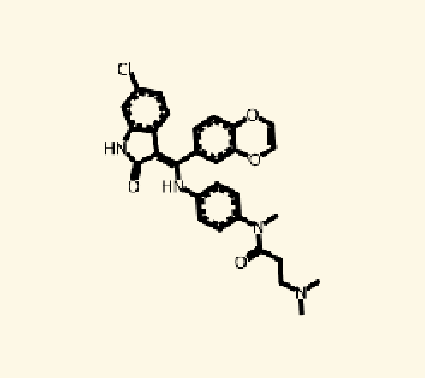 CN(C)CCC(=O)N(C)c1ccc(N/C(=C2\C(=O)Nc3cc(Cl)ccc32)c2ccc3c(c2)OC=CO3)cc1